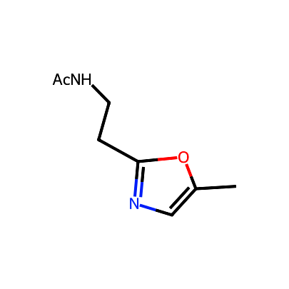 CC(=O)NCCc1ncc(C)o1